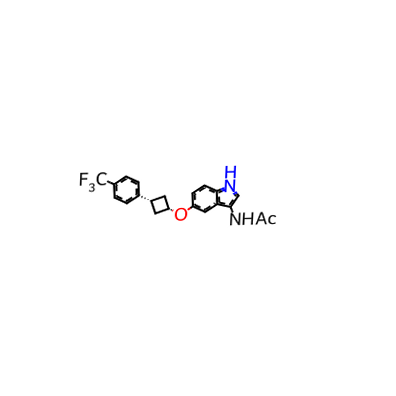 CC(=O)Nc1c[nH]c2ccc(O[C@H]3C[C@@H](c4ccc(C(F)(F)F)cc4)C3)cc12